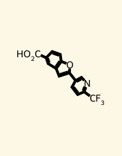 O=C(O)c1ccc2oc(-c3ccc(C(F)(F)F)nc3)cc2c1